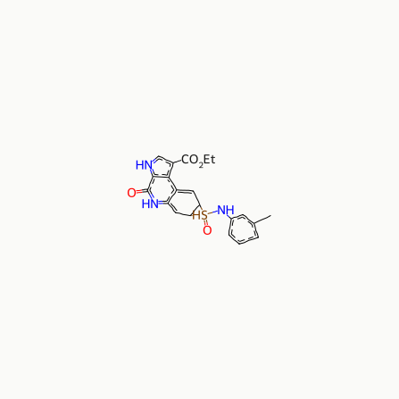 CCOC(=O)c1c[nH]c2c(=O)[nH]c3c(c12)=CC1C(C=3)[SH]1(=O)Nc1cccc(C)c1